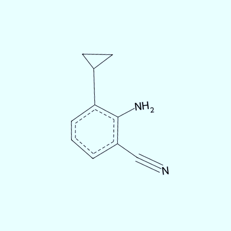 N#Cc1cccc(C2CC2)c1N